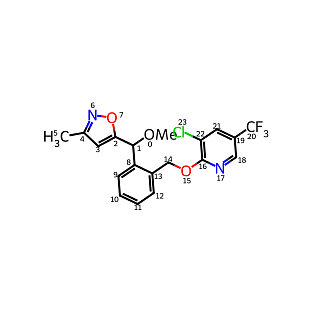 COC(c1cc(C)no1)c1ccccc1COc1ncc(C(F)(F)F)cc1Cl